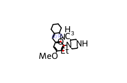 CCC(O/N=C1/CCCC/C1=C/c1cccc(OC)c1)N1CCNCC1C